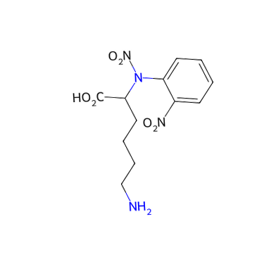 NCCCCC(C(=O)O)N(c1ccccc1[N+](=O)[O-])[N+](=O)[O-]